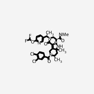 CNC(=O)[C@@H]1CN([C@@H](C)c2ccc(OC(F)F)nc2)C(=O)C2=C3CN(C(=O)c4ccc(Cl)c(Cl)c4)[C@H](C)CC3(C)NN21